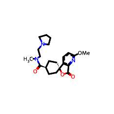 COc1ccc2c(n1)C(=O)O[C@]21CC[C@H](C(=O)N(C)CCN2CCCC2)CC1